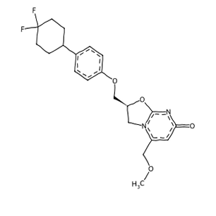 COCc1cc(=O)nc2n1C[C@@H](COc1ccc(C3CCC(F)(F)CC3)cc1)O2